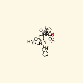 COc1cc(C(=O)N2C[C@H]3CC[C@@H]2[C@@H]3NC(=O)OC(C)(C)C)cc2nc(-c3cc4ccccc4n3C)n(CC3CNC3)c12